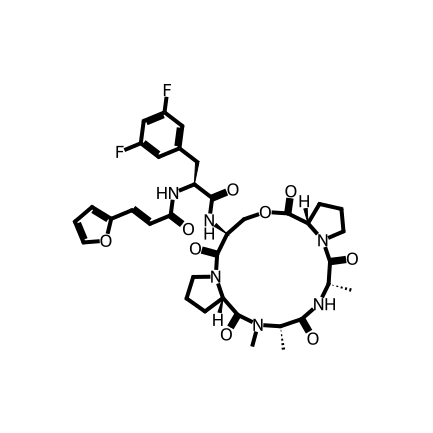 C[C@@H]1NC(=O)[C@H](C)N(C)C(=O)[C@@H]2CCCN2C(=O)[C@@H](NC(=O)[C@H](Cc2cc(F)cc(F)c2)NC(=O)/C=C/c2ccco2)COC(=O)[C@@H]2CCCN2C1=O